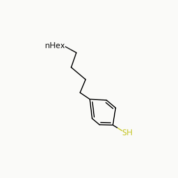 CCCCCCCCCCc1ccc(S)cc1